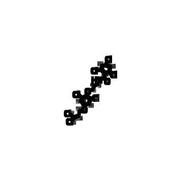 O=C(NCCCOc1c(Cl)cc(OCC=C(Cl)Cl)cc1Cl)c1c(Cl)cc(Cl)cc1Cl